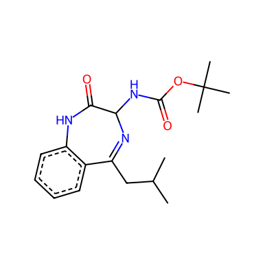 CC(C)CC1=NC(NC(=O)OC(C)(C)C)C(=O)Nc2ccccc21